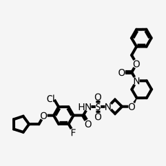 O=C(NS(=O)(=O)N1CC(O[C@@H]2CCCN(C(=O)OCc3ccccc3)C2)C1)c1cc(Cl)c(OCC2CCCC2)cc1F